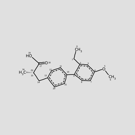 CCc1cc(OC)ccc1-c1ccc(C[C@H](C)C(=O)O)cc1